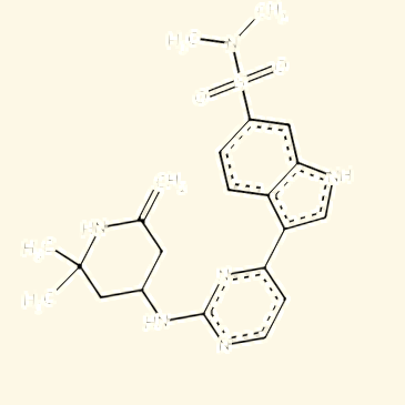 C=C1CC(Nc2nccc(-c3c[nH]c4cc(S(=O)(=O)N(C)C)ccc34)n2)CC(C)(C)N1